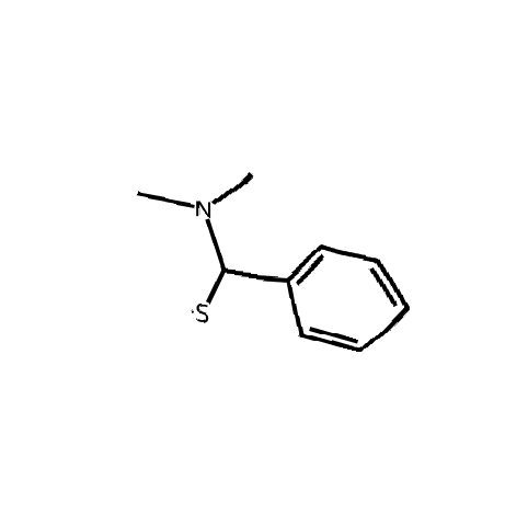 CN(C)C([S])c1ccccc1